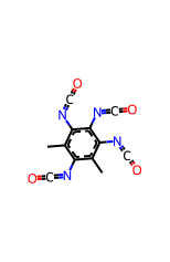 Cc1c(N=C=O)c(C)c(N=C=O)c(N=C=O)c1N=C=O